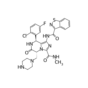 CNC(=O)c1nc(NC(=O)c2nsc3ccccc23)c2n1[C@H](CN1CCNCC1)C(=O)N[C@H]2c1cc(F)ccc1Cl